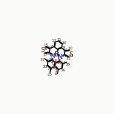 Cc1cc(C)c(N2B3c4c(cccc4-c4cscc4N3c3c(C)cc(C)cc3C)-c3cscc32)c(C)c1